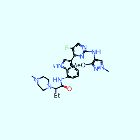 CCC(C(=O)Nc1cccc2c(-c3nc(Nc4cn(C)nc4OC)ncc3F)c[nH]c12)N1CCN(C)CC1